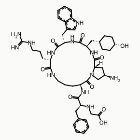 N=C(N)NCCC[C@@H]1NC(=O)[C@H](Cc2c[nH]c3ccccc23)NC(=O)[C@@H](C[C@H]2CC[C@@H](O)CC2)NC(=O)[C@@H]2C[C@@H](N)CN2C(=O)[C@@H](NC(=O)[C@H](Cc2ccccc2)NCC(=O)O)CCCNC1=O